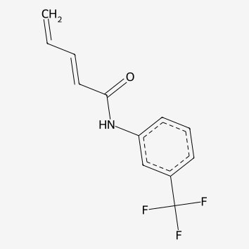 C=CC=CC(=O)Nc1cccc(C(F)(F)F)c1